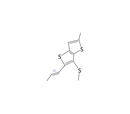 C/C=C/c1sc2cc(C)sc2c1SC